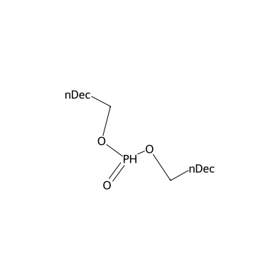 CCCCCCCCCCCO[PH](=O)OCCCCCCCCCCC